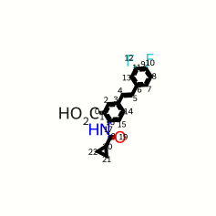 O=C(O)c1cc(C=Cc2ccc(F)c(F)c2)ccc1NC(=O)C1CC1